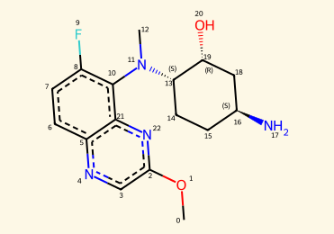 COc1cnc2ccc(F)c(N(C)[C@H]3CC[C@H](N)C[C@H]3O)c2n1